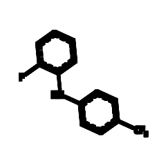 Fc1ccccc1Nc1ccc(C(F)(F)F)cc1